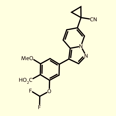 COc1cc(-c2cnn3cc(C4(C#N)CC4)ccc23)cc(OC(F)F)c1C(=O)O